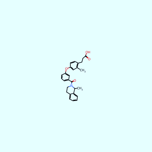 Cc1cc(Oc2cccc(C(=O)N3CCc4ccccc4C3C)c2)ccc1CCC(=O)O